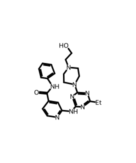 CCc1nc(Nc2cc(C(=O)Nc3ccccc3)ccn2)nc(N2CCN(CCO)CC2)n1